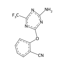 N#Cc1ccccc1Oc1nc(N)nc(C(F)(F)F)n1